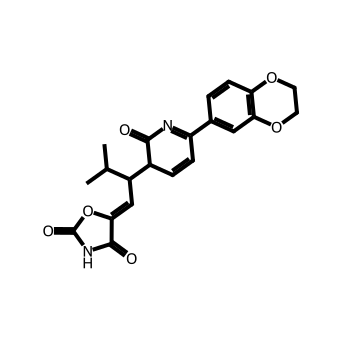 CC(C)C(/C=C1\OC(=O)NC1=O)C1C=CC(c2ccc3c(c2)OCCO3)=NC1=O